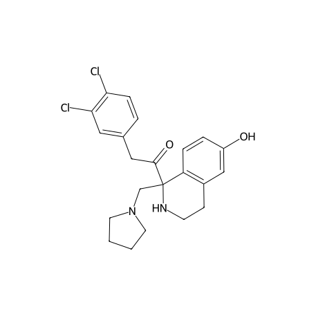 O=C(Cc1ccc(Cl)c(Cl)c1)C1(CN2CCCC2)NCCc2cc(O)ccc21